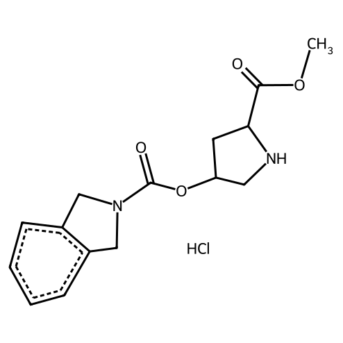 COC(=O)C1CC(OC(=O)N2Cc3ccccc3C2)CN1.Cl